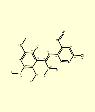 CCc1c(OC)cc(OC)c(Cl)c1/C(=N/c1cnc(Cl)cc1C=O)N(C)C